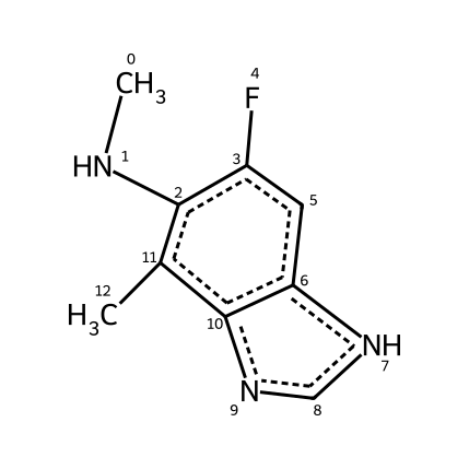 CNc1c(F)cc2[nH]cnc2c1C